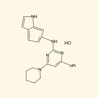 CCCc1cc(N2CCCCC2)nc(Nc2ccc3cc[nH]c3c2)n1.Cl